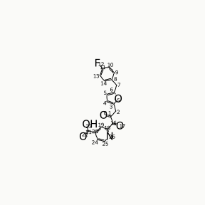 O=C(Cc1ccc(Cc2ccc(F)cc2)o1)C(=O)c1cc(C(=O)O)ccn1